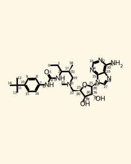 CCC(NC(=O)Nc1ccc(C(C)(C)C)cc1)[C@@H](C)CN(C)C[C@H]1O[C@@H](n2cnc3c(N)ncnc32)[C@H](O)[C@H]1O